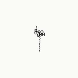 CCCCCCCCCCCCCCCC(=O)Nc1cc(C(=O)N(C)CCCC)ccc1OC